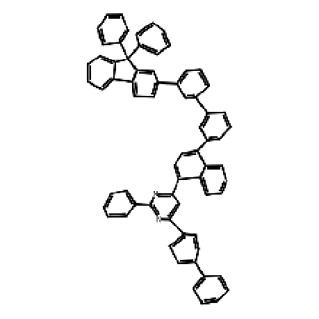 c1ccc(-c2ccc(-c3cc(-c4ccc(-c5cccc(-c6cccc(-c7ccc8c(c7)C(c7ccccc7)(c7ccccc7)c7ccccc7-8)c6)c5)c5ccccc45)nc(-c4ccccc4)n3)cc2)cc1